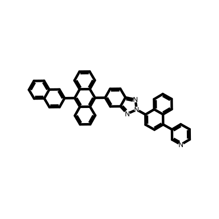 c1cncc(-c2ccc(-n3nc4ccc(-c5c6ccccc6c(-c6ccc7ccccc7c6)c6ccccc56)cc4n3)c3ccccc23)c1